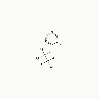 CC(O)(Cc1ccncc1Cl)C([O])(F)F